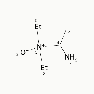 CC[N+]([O-])(CC)C(C)N